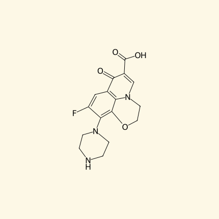 O=C(O)c1cn2c3c(c(N4CCNCC4)c(F)cc3c1=O)OCC2